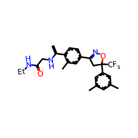 C=C(NCC(=O)NCC)c1ccc(C2=NOC(c3cc(C)cc(C)c3)(C(F)(F)F)C2)cc1C